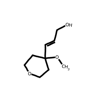 COC1(/C=C/CO)CCOCC1